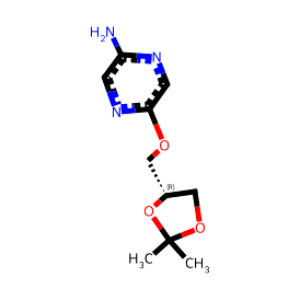 CC1(C)OC[C@@H](COc2cnc(N)cn2)O1